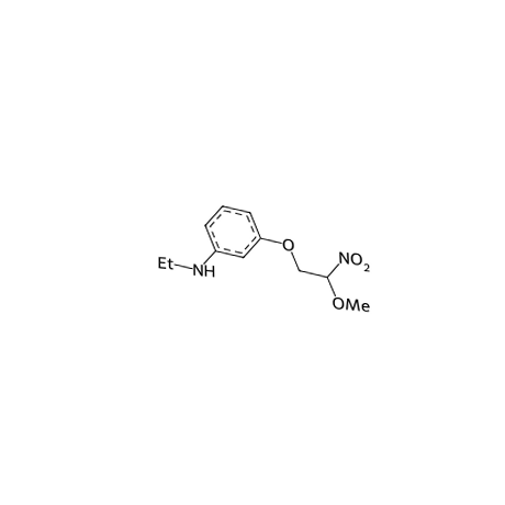 CCNc1cccc(OCC(OC)[N+](=O)[O-])c1